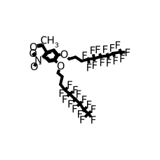 CC(=O)c1cc(OCCCC(F)(F)C(F)(F)C(F)(F)C(F)(F)C(F)(F)C(F)(F)F)c(OCCCC(F)(F)C(F)(F)C(F)(F)C(F)(F)C(F)(F)C(F)(F)F)cc1[N+](=O)[O-]